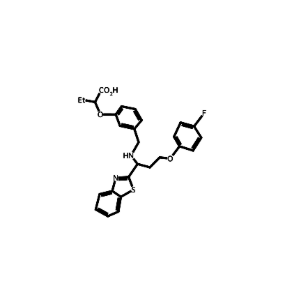 CCC(Oc1cccc(CNC(CCOc2ccc(F)cc2)c2nc3ccccc3s2)c1)C(=O)O